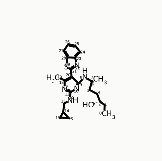 CC[C@H](O)CCC(C)Nc1nc(NCC2CC2)nc(C)c1-c1nc2ccccc2s1